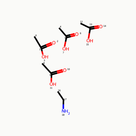 CC(=O)O.CC(=O)O.CC(=O)O.CC(=O)O.CCN